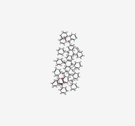 c1ccc(-c2ccccc2N(c2ccccc2)c2cc3c4c(c2)N(c2ccccc2)c2cc5c(cc2B4c2ccccc2O3)B2c3ccccc3Oc3c2c(cc2c3B3c4ccccc4N(c4ccccc4)c4cc(N(c6ccccc6)c6ccccc6)cc(c43)N2c2ccccc2-c2ccccc2)N5c2ccccc2)cc1